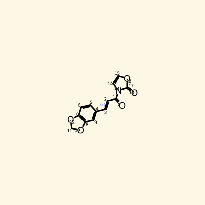 O=C(/C=C/c1ccc2c(c1)OCO2)n1ccoc1=O